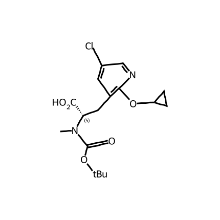 CN(C(=O)OC(C)(C)C)[C@@H](Cc1cc(Cl)cnc1OC1CC1)C(=O)O